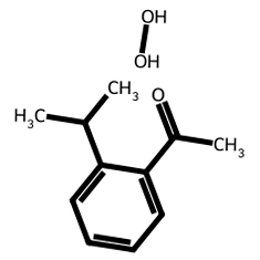 CC(=O)c1ccccc1C(C)C.OO